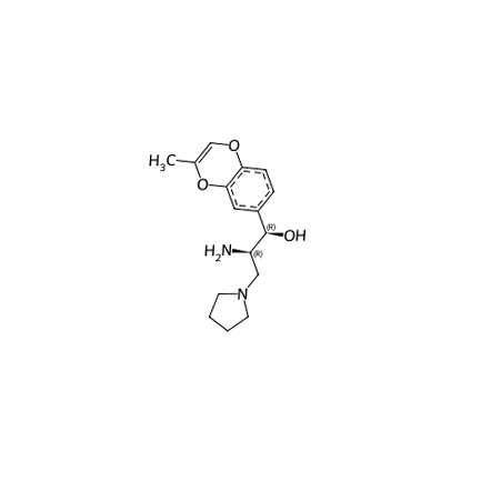 CC1=COc2ccc([C@@H](O)[C@H](N)CN3CCCC3)cc2O1